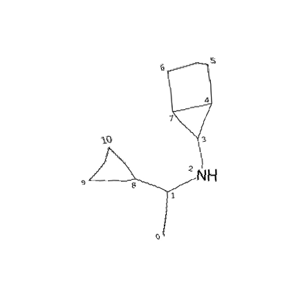 CC(NC1C2CCC21)C1CC1